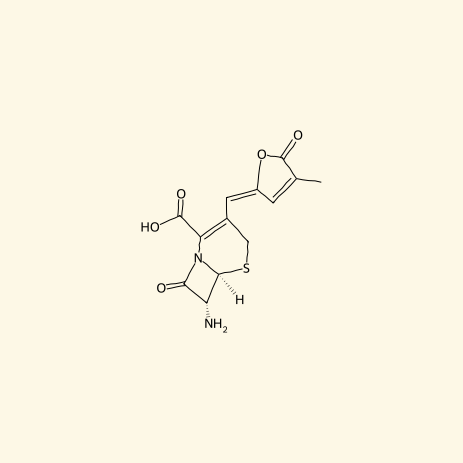 CC1=C/C(=C\C2=C(C(=O)O)N3C(=O)[C@@H](N)[C@@H]3SC2)OC1=O